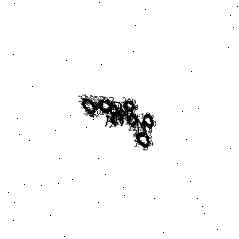 c1ccc(N(c2ccccc2)c2ccc3c(c2)c2ccccc2n3-c2ncnc3c2oc2ccc(C4CCCCC4)cc23)cc1